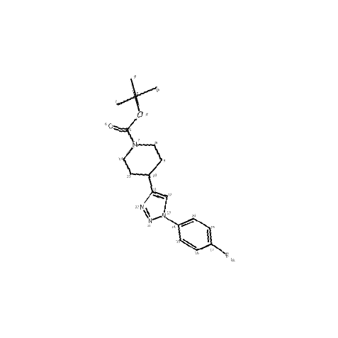 CC(C)(C)OC(=O)N1CCC(c2cn(-c3ccc(F)cc3)nn2)CC1